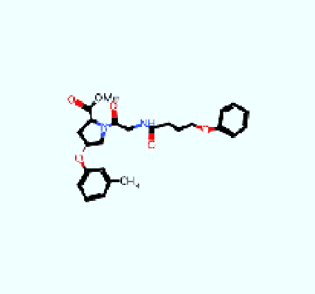 COC(=O)[C@@H]1C[C@@H](Oc2cccc(C)c2)CN1C(=O)CNC(=O)CCCOc1ccccc1